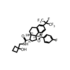 O=C(NCC1(O)CCC1)[C@@H]1CC[C@@]2(S(=O)(=O)c3ccc(F)cc3)c3ccc(C(F)(C(F)(F)F)C(F)(F)F)cc3CC[C@@H]12